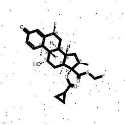 C[C@@H]1C[C@H]2[C@@H]3C[C@H](F)C4=CC(=O)C=C[C@]4(C)[C@@]3(F)[C@@H](O)C[C@]2(C)[C@@]1(OC(=O)C1CC1)C(=O)SCF